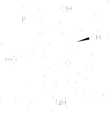 C[C@H]1OC(CN)C(O)C(F)C1O